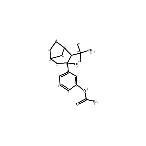 CC(C)(C)C(=O)Oc1cccc(C2(O)CC3CCC(C3)C2C(C)(C)N)c1